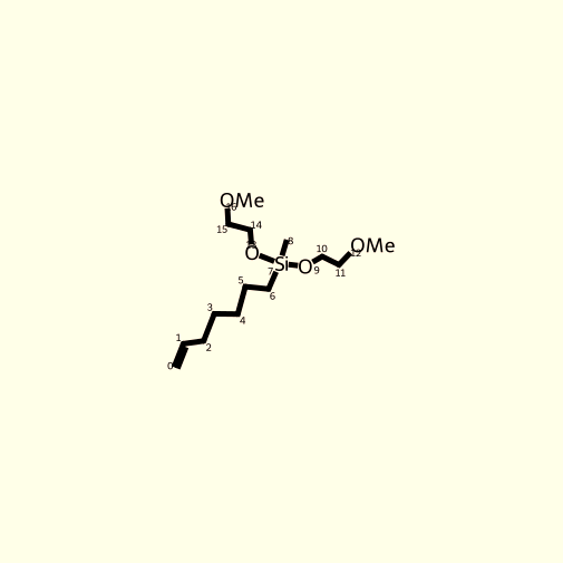 C=CCCCCC[Si](C)(OCCOC)OCCOC